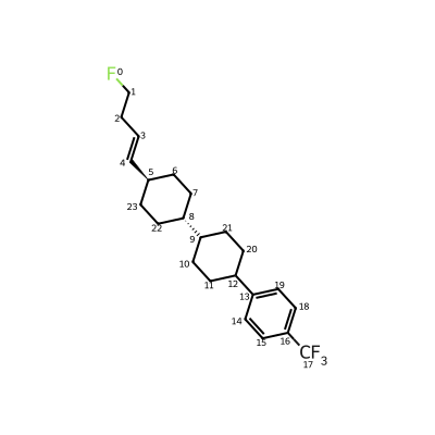 FCC/C=C/[C@H]1CC[C@H](C2CCC(c3ccc(C(F)(F)F)cc3)CC2)CC1